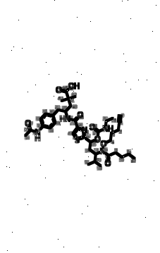 C#CCCCON(C(=O)CCCC)C(CC(OC(=O)NCC)c1nc(C(=O)NC(Cc2ccc(NC(C)=O)cc2)CC(C)(C)C(=O)O)cs1)C(C)C